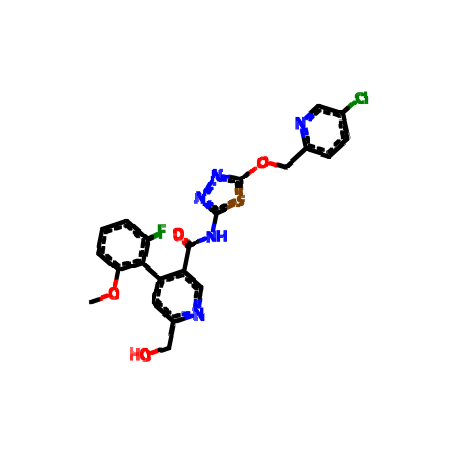 COc1cccc(F)c1-c1cc(CO)ncc1C(=O)Nc1nnc(OCc2ccc(Cl)cn2)s1